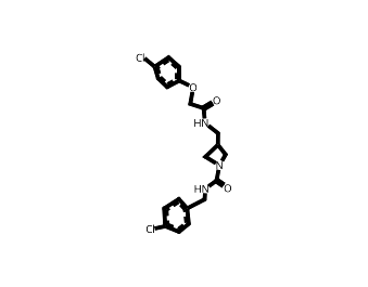 O=C(COc1ccc(Cl)cc1)NCC1CN(C(=O)NCc2ccc(Cl)cc2)C1